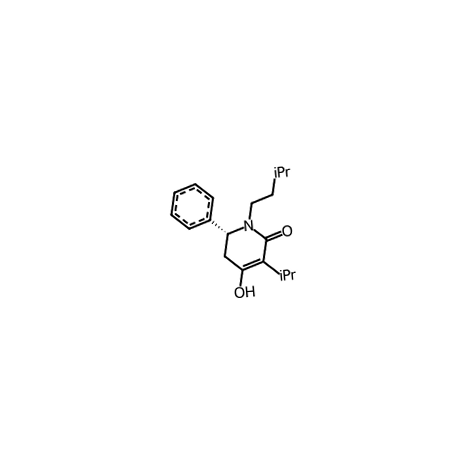 CC(C)CCN1C(=O)C(C(C)C)=C(O)C[C@@H]1c1ccccc1